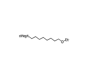 C[CH]OCCCCCCCCCCCCCCC